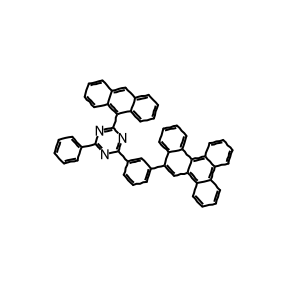 c1ccc(-c2nc(-c3cccc(-c4cc5c6ccccc6c6ccccc6c5c5ccccc45)c3)nc(-c3c4ccccc4cc4ccccc34)n2)cc1